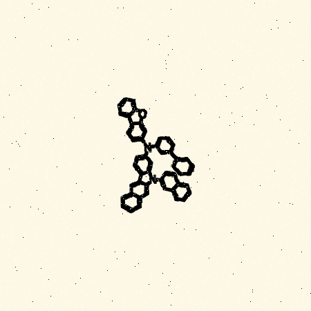 C1=CCCC(c2cccc(N(c3ccc4c(c3)oc3ccccc34)c3ccc4c5cc6ccccc6cc5n(-c5ccc6ccccc6c5)c4c3)c2)=C1